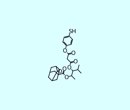 CC(C)C(OC(=O)CC(=O)Oc1ccc(S)cc1)C(C)OC(=O)C12CC3CC(C1)C(=O)C(C3)C2